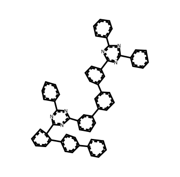 c1ccc(-c2ccc(-c3ccccc3-c3nc(-c4ccccc4)nc(-c4cccc(-c5cccc(-c6cccc(-c7nc(-c8ccccc8)nc(-c8ccccc8)n7)c6)c5)c4)n3)cc2)cc1